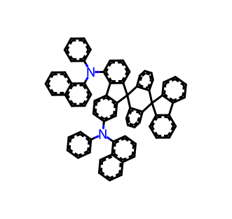 c1ccc(N(c2ccc3c(c2)C2(c4ccccc4C4(c5ccccc5-c5ccccc54)c4ccccc42)c2cccc(N(c4ccccc4)c4cccc5ccccc45)c2-3)c2cccc3ccccc23)cc1